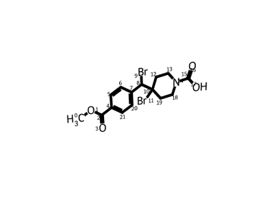 COC(=O)c1ccc(C(Br)C2(Br)CCN(C(=O)O)CC2)cc1